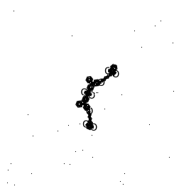 O=C1C(=C2C=CC(=[N+](c3ccc(OCCCCCCN4C(=O)c5ccccc5C4=O)cc3)C3CCCCC3)C=C2)C([O-])=C1c1ccc(N(c2ccc(OCCCCCCN3C(=O)CCC3=O)cc2)C2CCCCC2)cc1